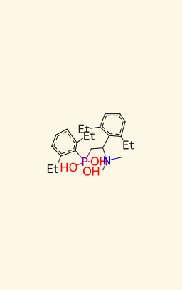 CCc1cccc(CC)c1C(CP(O)(O)(O)c1c(CC)cccc1CC)N(C)C